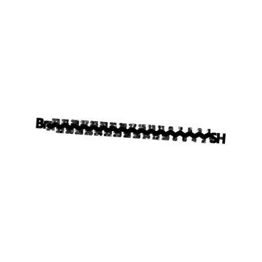 SCCCCCCCCCCCCCCCCCCCCCCCCCCCCCCCCCCBr